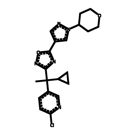 CC(c1ccc(Cl)nc1)(c1noc(-c2cnn(C3CCOCC3)c2)n1)C1CC1